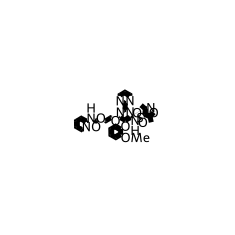 COc1ccccc1Oc1c(NS(=O)(=O)c2c(C)noc2C)nc(-c2ncccn2)nc1OCCOC(=O)Nc1ccccn1